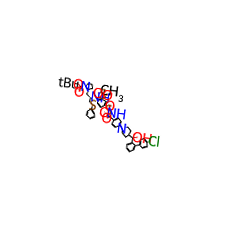 CC(C)(C)OC(=O)N1CCC[C@H]1C[C@H](CSc1ccccc1)Nc1ccc(S(=O)(=O)NC(=O)c2ccc(N3CCC([C@@H](O)c4ccccc4-c4ccc(Cl)cc4)CC3)cc2)cc1S(C)(=O)=O